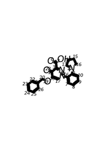 O=C(O)c1nn(-c2ccccc2N2CCCC2)cc(OCc2ccccc2)c1=O